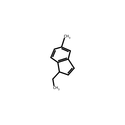 CCC1C=Cc2cc(C)ccc21